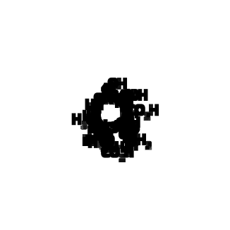 CC(C)C[C@H](NC(=O)[C@@H]1CSSC[C@H](NC(=O)[C@@H]2CCCN2C(=O)[C@@H](N)CC(C)C)C(=O)N[C@@H](CC(=O)O)C(=O)N[C@@H](Cc2ccc(O)cc2)C(=O)N[C@@H](Cc2ccc(O)cc2)C(=O)NCC(=O)N[C@@H](C(C)O)C(=O)N1)C(=O)N[C@@H](CC(=O)O)C(N)=O